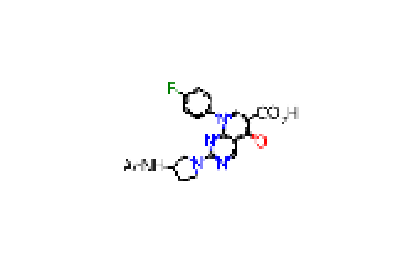 CC(=O)NC1CCN(c2ncc3c(=O)c(C(=O)O)cn(-c4ccc(F)cc4)c3n2)C1